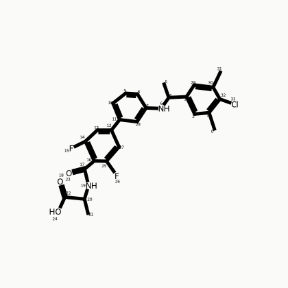 Cc1cc(C(C)Nc2cccc(-c3cc(F)c(C(=O)NC(C)C(=O)O)c(F)c3)c2)cc(C)c1Cl